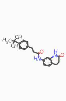 CC(C)(C)c1ccc(CCC(=O)Nc2ccc3c(c2)NC(=O)CC3)cc1